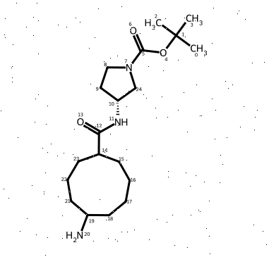 CC(C)(C)OC(=O)N1CC[C@@H](NC(=O)C2CCCCC(N)CCC2)C1